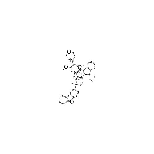 CCC1(CC)c2ccccc2-c2c1c(/C=C\C(C)(c1ccc(OC)cc1)c1ccc3oc4ccccc4c3c1)c(C)c1cc(OC)c(N3CCOCC3)cc21